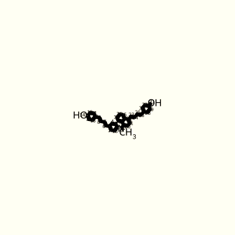 CN(c1ccc(C=CC=Cc2ccc(O)cc2)cc1)c1ccc(C=CC=Cc2ccc(O)cc2)c2ccccc12